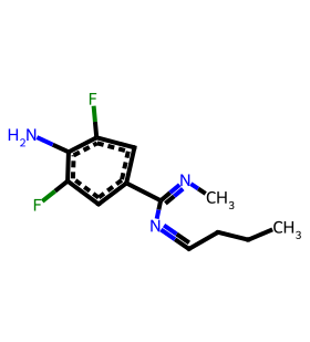 CCC/C=N\C(=N/C)c1cc(F)c(N)c(F)c1